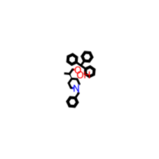 CC(COC(c1ccccc1)(c1ccccc1)c1ccccc1)[C@@H]1CCN(Cc2ccccc2)C[C@H]1O